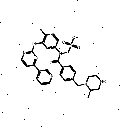 Cc1ccc(N(CS(=O)(=O)O)C(=O)c2ccc(CN3CCNCC3C)cc2)cc1Nc1nccc(-c2cccnc2)n1